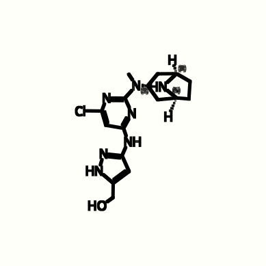 CN(c1nc(Cl)cc(Nc2cc(CO)[nH]n2)n1)[C@@H]1C[C@H]2CC[C@@H](C1)N2